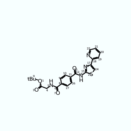 CC(C)(C)OC(=O)CNC(=O)c1ccc(C(=O)Nc2nc(-c3ccccn3)cs2)cc1